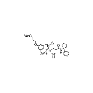 COCCCOc1cc(CN(C(=O)[C@H]2CNCC(C(=O)NC3(c4ccccc4)CCCC3)C2)C2CC2)cc(OC)c1